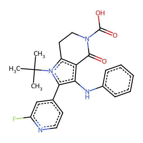 CC(C)(C)n1c2c(c(Nc3ccccc3)c1-c1ccnc(F)c1)C(=O)N(C(=O)O)CC2